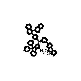 CC1(C)c2ccccc2-c2ccc(-c3cccc(N(c4ccc(-c5ccc6ccccc6c5-c5ccc6ccccc6c5)cc4)c4ccc5c(c4)C(C4=CC=CCC4)(c4ccccc4)C4=C5CCC=C4)c3)cc21